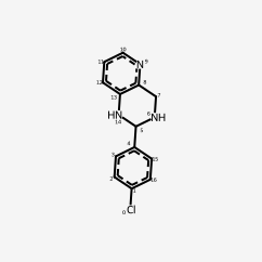 Clc1ccc(C2NCc3ncccc3N2)cc1